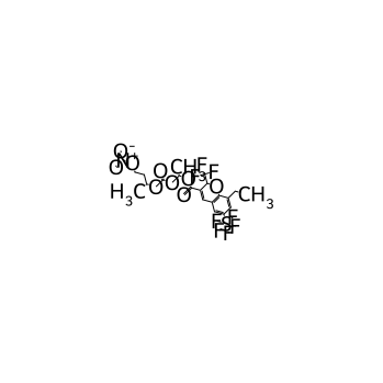 CCc1cc(S(F)(F)(F)(F)F)cc2c1OC(C(F)(F)F)C(C(=O)OC(C)OC(=O)OC(C)CCO[N+](=O)[O-])=C2